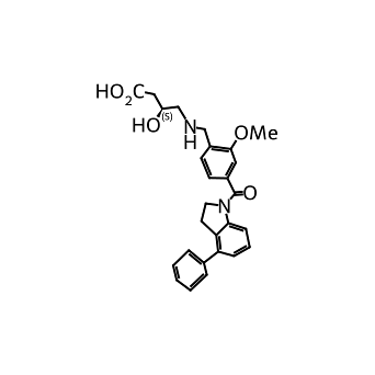 COc1cc(C(=O)N2CCc3c(-c4ccccc4)cccc32)ccc1CNC[C@@H](O)CC(=O)O